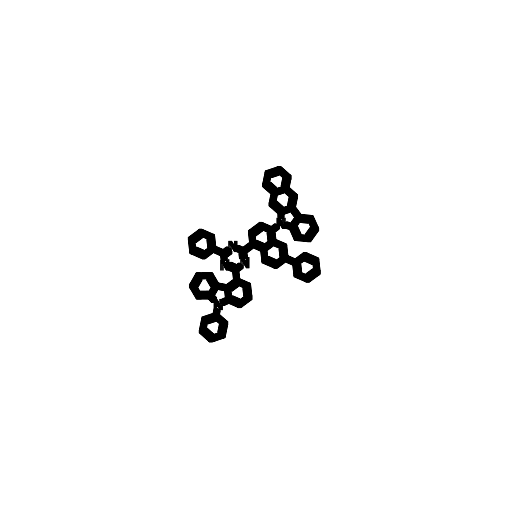 c1ccc(-c2ccc3c(-c4nc(-c5ccccc5)nc(-c5cccc6c5c5ccccc5n6-c5ccccc5)n4)ccc(-n4c5ccccc5c5cc6ccccc6cc54)c3c2)cc1